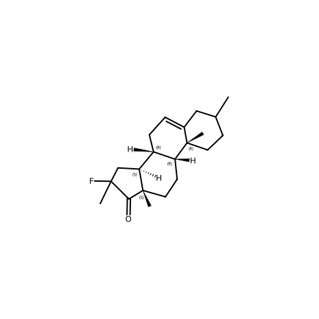 CC1CC[C@@]2(C)C(=CC[C@@H]3[C@H]2CC[C@]2(C)C(=O)C(C)(F)C[C@@H]32)C1